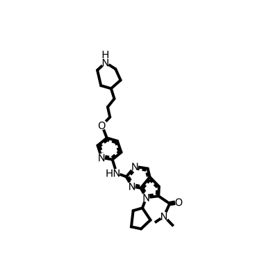 CN(C)C(=O)c1cc2cnc(Nc3ccc(OCCCC4CCNCC4)cn3)nc2n1C1CCCC1